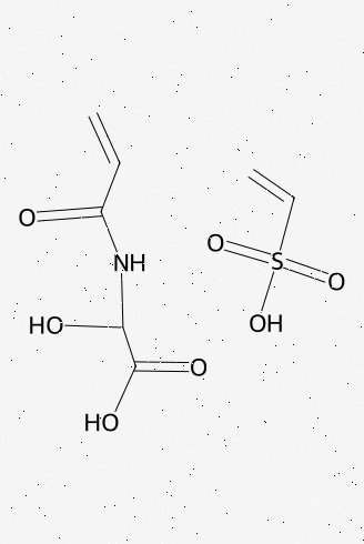 C=CC(=O)NC(O)C(=O)O.C=CS(=O)(=O)O